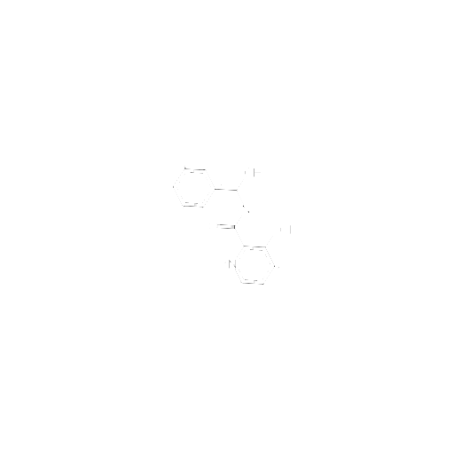 CC(NC(=O)c1ncccc1O)c1ccccc1